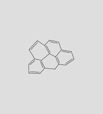 c1cc2c3c(c1)ccc1ccc4cccc(c4c13)C2